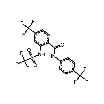 O=C(Nc1ccc(C(F)(F)F)cc1)c1ccc(C(F)(F)F)cc1NS(=O)(=O)C(F)(F)F